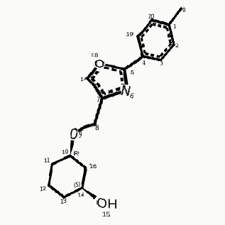 Cc1ccc(-c2nc(CO[C@@H]3CCC[C@H](O)C3)co2)cc1